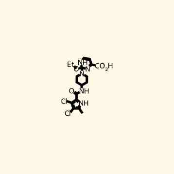 CCOC1(N2CCC(NC(=O)c3[nH]c(C)c(Cl)c3Cl)CC2)N=C(C(=O)O)C=CN1